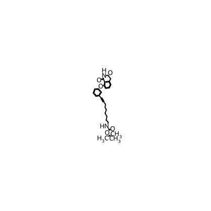 CC(C)(C)OC(=O)NCCCCCCCC#Cc1cccc(Oc2cccc3c2C(=O)NC(=O)C3)c1